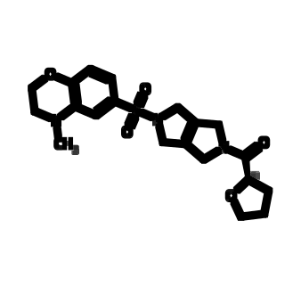 CN1CCOc2ccc(S(=O)(=O)N3CC4=C(CN(C(=O)[C@H]5CCCO5)C4)C3)cc21